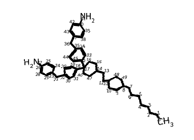 CCCCCCCCC1CCC(CCC2CCC(c3ccc(Cc4ccc(N)cc4)cc3)(c3ccc(Cc4ccc(N)cc4)cc3)CC2)CC1